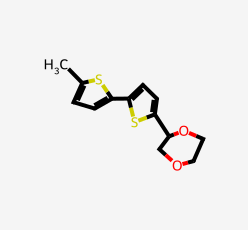 Cc1ccc(-c2ccc(C3COCCO3)s2)s1